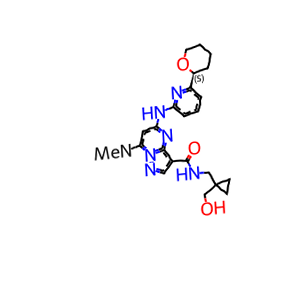 CNc1cc(Nc2cccc([C@@H]3CCCCO3)n2)nc2c(C(=O)NCC3(CO)CC3)cnn12